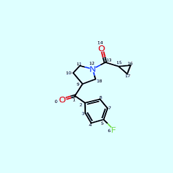 O=C(c1ccc(F)cc1)C1CCN(C(=O)C2CC2)C1